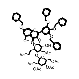 CC(=O)OCC[C@H]1O[C@@H](Oc2c(-c3cc(OCc4ccccc4)c(OCc4ccccc4)c(OCc4ccccc4)c3)oc3cc(OCc4ccccc4)cc(O)c3c2=O)[C@H](O)[C@@H](OC(C)=O)[C@@H]1O[C@@H]1O[C@H](COC(C)=O)[C@H](OC(C)=O)[C@H](OC(C)=O)[C@H]1OC(C)=O